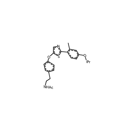 CC(=O)NCCc1ccc(Oc2cnc(-c3ccc(OC(C)C)cc3C)s2)cc1